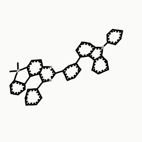 C[Si]1(C)c2ccccc2-c2c1ccc1nc(-c3cccc(-c4cccc5c4c4ccccc4n5-c4ccccc4)c3)nc(-c3ccccc3)c21